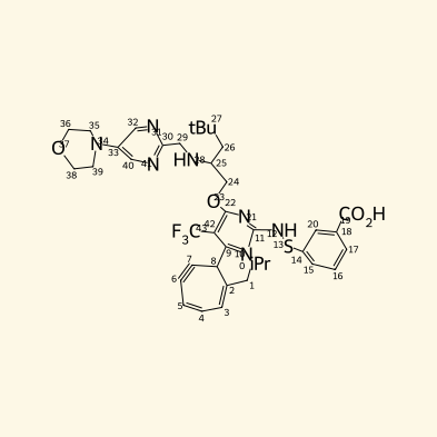 CC(C)CC1=CC=CC#CC1c1nc(NSc2cccc(C(=O)O)c2)nc(OCC(CC(C)(C)C)NCc2ncc(N3CCOCC3)cn2)c1C(F)(F)F